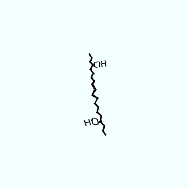 CCCC(O)CCCCCCCCCCCCC(O)CCC